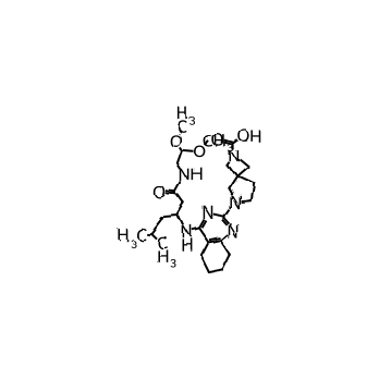 COC(CNC(=O)CC(CC(C)C)Nc1nc(N2CCC3(CN(C(=O)O)C3)C2)nc2c1CCCC2)OC